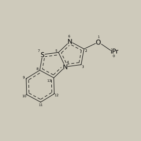 CC(C)Oc1cn2c(n1)sc1ccccc12